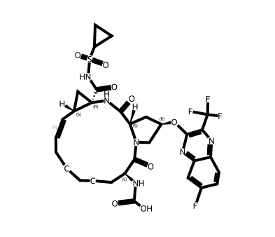 O=C(O)N[C@H]1CCCCC/C=C\[C@@H]2C[C@@]2(C(=O)NS(=O)(=O)C2CC2)NC(=O)[C@@H]2C[C@@H](Oc3nc4cc(F)ccc4nc3C(F)(F)F)CN2C1=O